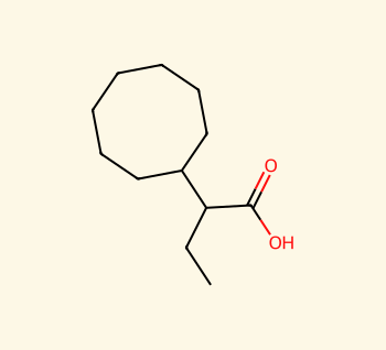 CCC(C(=O)O)C1CCCCCCC1